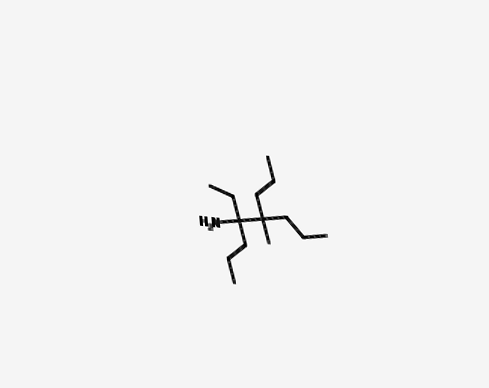 CCCC(C)(CCC)C(N)(CC)CCC